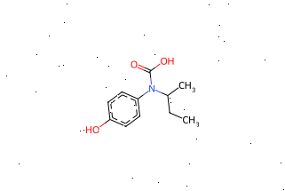 CCC(C)N(C(=O)O)c1ccc(O)cc1